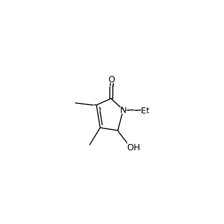 [CH2]CN1C(=O)C(C)=C(C)C1O